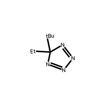 CCC1(C(C)(C)C)N=NN=N1